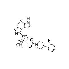 CC[C@@H]1CC(OC(=O)N2CCN(c3ccccc3F)CC2)C[C@@H]1c1nnc2cnc3[nH]ccc3n12